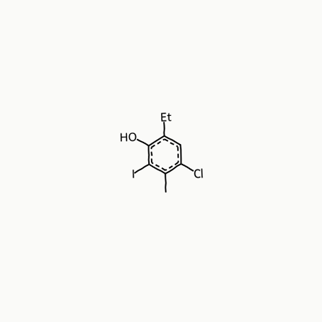 CCc1cc(Cl)c(C)c(I)c1O